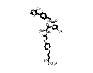 Cc1ncsc1-c1ccc(CNC(=O)[C@@H]2C[C@@H](O)CN2C(=O)[C@@H](NC(=O)COC2CCN(CCCNC(=O)O)CC2)C(C)(C)C)cc1